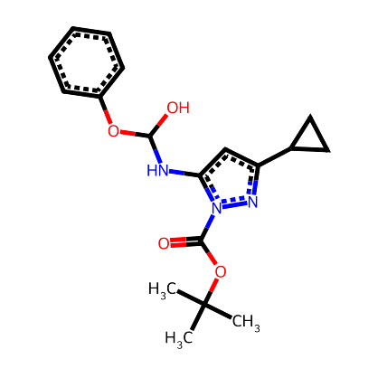 CC(C)(C)OC(=O)n1nc(C2CC2)cc1NC(O)Oc1ccccc1